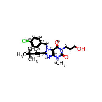 Cn1c(=O)n(CCCO)c(=O)c2c1nc(C#CC(C)(C)C)n2Cc1ccc(Cl)cc1